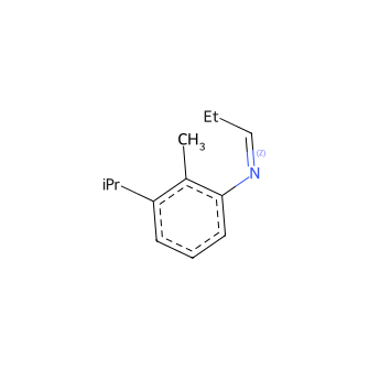 CC/C=N\c1cccc(C(C)C)c1C